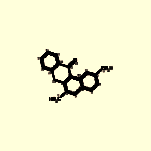 O=C(O)c1ccc2cc(C(=O)O)c3c(c2c1)C(=O)c1ccccc1C3